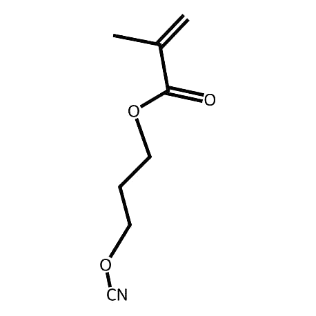 C=C(C)C(=O)OCCCOC#N